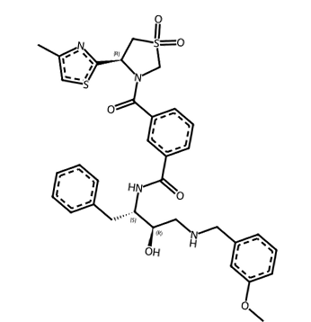 COc1cccc(CNC[C@@H](O)[C@H](Cc2ccccc2)NC(=O)c2cccc(C(=O)N3CS(=O)(=O)C[C@@H]3c3nc(C)cs3)c2)c1